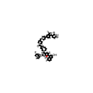 CCc1c(F)ccc2cc(O)cc(-c3c(F)cc4c(N5CCCn6nc(C(=O)N7CCC(CN8CCC(c9ccc%10c(C%11CCC(=O)NC%11=O)nn(C)c%10c9)CC8)CC7)cc6C5)nc(OC[C@@]56CCCN5C[C@H](F)C6)nc4c3F)c12